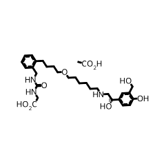 CC(=O)O.O=C(O)CNC(=O)NCc1ccccc1CCCCOCCCCCCNC[C@H](O)c1ccc(O)c(CO)c1